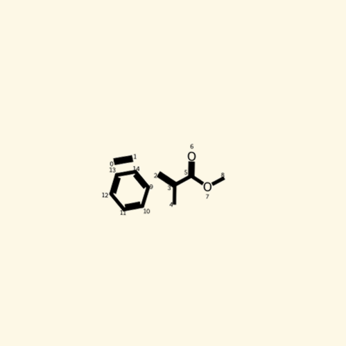 C=C.C=C(C)C(=O)OC.c1ccccc1